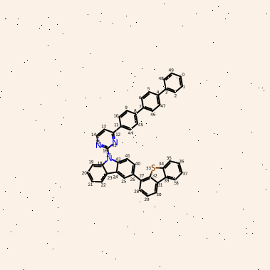 c1ccc(-c2ccc(-c3ccc(-c4ccnc(-n5c6ccccc6c6cc(-c7cccc8c7sc7ccccc78)ccc65)n4)cc3)cc2)cc1